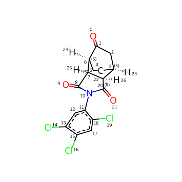 O=C1C[C@@H]2CC[C@H]1[C@@H]1C(=O)N(c3cc(Cl)c(Cl)cc3Cl)C(=O)[C@H]21